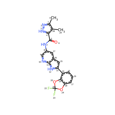 Cc1n[nH]c(C(=O)Nc2cnc3[nH]c(-c4cccc5c4OC(F)(F)O5)cc3c2)c1C